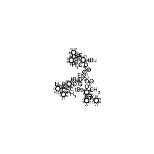 CCC(COC(=O)COc1c(C(C)(C)C)cc(C)c(CP(c2ccccc2)c2ccccc2)c1C)(COC(=O)COc1c(C(C)(C)C)cc(C)c(C(=O)P(=O)(c2ccccc2)c2ccccc2)c1C)COC(=O)COc1c(C(C)(C)C)cc(C)c(C(=O)P(=O)(c2ccccc2)c2ccccc2)c1C